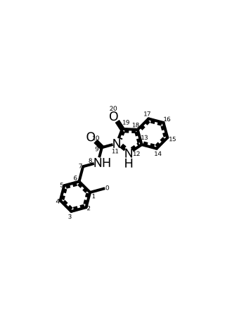 Cc1ccccc1CNC(=O)n1[nH]c2ccccc2c1=O